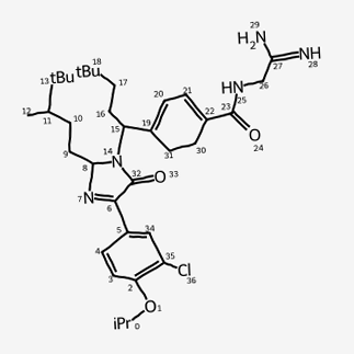 CC(C)Oc1ccc(C2=NC(CCC(C)C(C)(C)C)N(C(CCC(C)(C)C)C3=CC=C(C(=O)NCC(=N)N)CC3)C2=O)cc1Cl